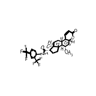 C[C@H]1C[C@H]2OC(=O)C=C[C@]2(C)[C@H]2CC[C@]3(C)[C@@H](C(=O)Nc4ccc(C(F)(F)F)cc4C(F)(F)F)CC[C@H]3[C@H]12